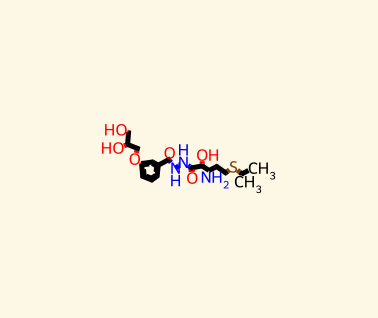 CC(C)SCCC(N)C(O)C(=O)NNC(=O)c1cccc(OCC(O)CO)c1